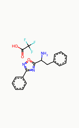 NC(Cc1ccccc1)c1nc(-c2ccccc2)no1.O=C(O)C(F)(F)F